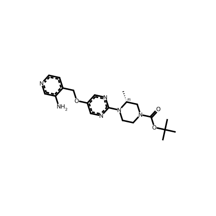 C[C@@H]1CN(C(=O)OC(C)(C)C)CCN1c1ncc(OCc2ccncc2N)cn1